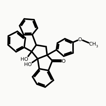 COc1ccc(C23CC(c4ccccc4)C(O)(c4ccccc4)C2(O)c2ccccc2C3=O)cc1